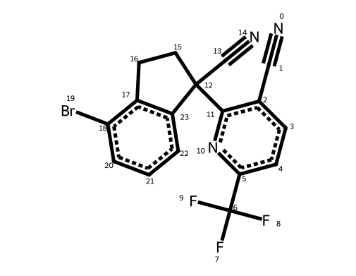 N#Cc1ccc(C(F)(F)F)nc1C1(C#N)CCc2c(Br)cccc21